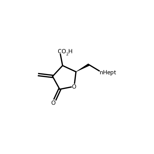 C=C1C(=O)O[C@H](CCCCCCCC)C1C(=O)O